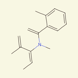 C=C(C)/C(=C\C)N(C)C(=C)c1ccccc1C